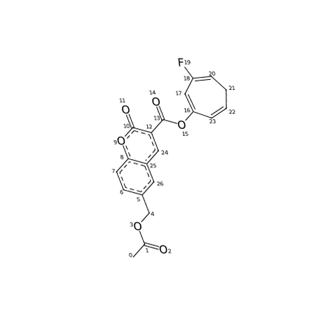 CC(=O)OCc1ccc2oc(=O)c(C(=O)OC3=CC(F)=CCC=C3)cc2c1